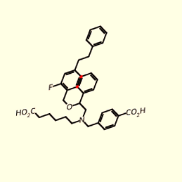 O=C(O)CCCCCN(Cc1ccc(C(=O)O)cc1)CC(OCc1ccc(CCc2ccccc2)cc1F)c1ccccc1